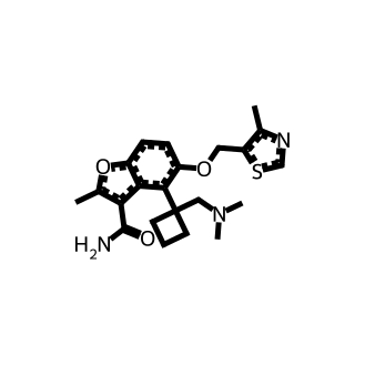 Cc1ncsc1COc1ccc2oc(C)c(C(N)=O)c2c1C1(CN(C)C)CCC1